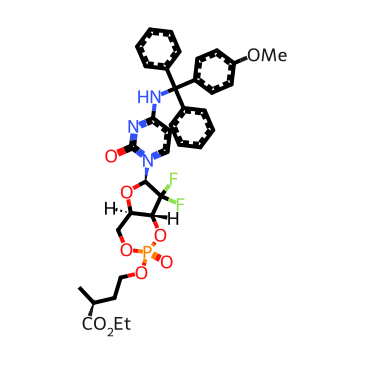 CCOC(=O)[C@@H](C)CCOP1(=O)OC[C@H]2O[C@@H](n3ccc(NC(c4ccccc4)(c4ccccc4)c4ccc(OC)cc4)nc3=O)C(F)(F)[C@@H]2O1